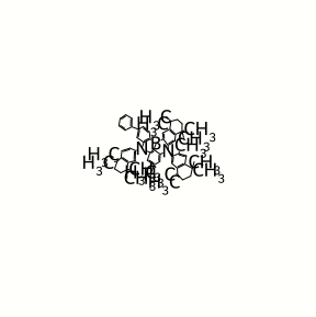 Cc1cc2c3c(c1)N(c1cc4c(cc1C)C(C)(C)CCC4(C)C)c1cc4c(cc1B3c1ccc(-c3ccccc3)cc1N2c1ccc2c(c1)C(C)(C)CCC2(C)C)C(C)(C)CCC4(C)C